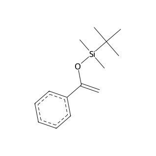 C=C(O[Si](C)(C)C(C)(C)C)c1ccccc1